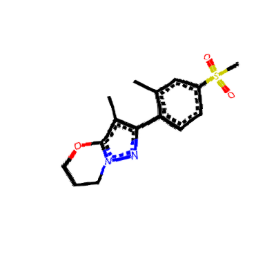 Cc1cc(S(C)(=O)=O)ccc1-c1nn2c(c1C)OCCC2